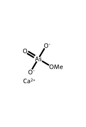 CO[As](=O)([O-])[O-].[Ca+2]